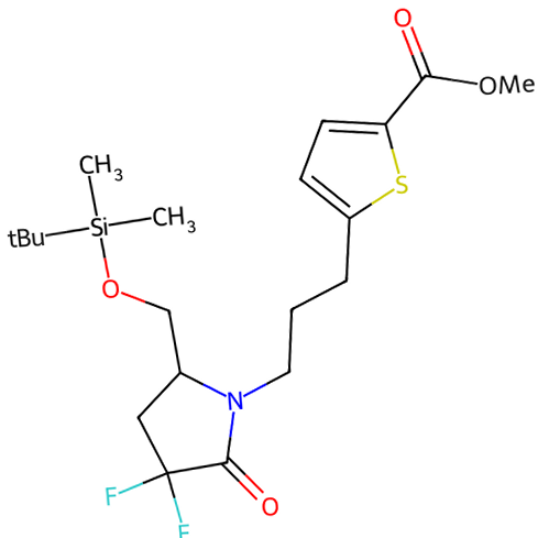 COC(=O)c1ccc(CCCN2C(=O)C(F)(F)CC2CO[Si](C)(C)C(C)(C)C)s1